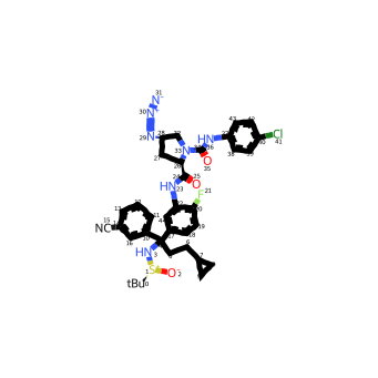 CC(C)(C)[S@@+]([O-])NC(CCC1CC1)(c1cccc(C#N)c1)c1ccc(F)c(NC(=O)[C@H]2C[C@H](N=[N+]=[N-])CN2C(=O)Nc2ccc(Cl)cc2)c1